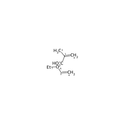 C=C(C)C(=O)O.C=COCC